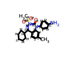 Cc1ccc2c(c1)N(c1ccc(N)cc1)C(=O)N(S(C)(=O)=O)N=C2C1CCCCC1